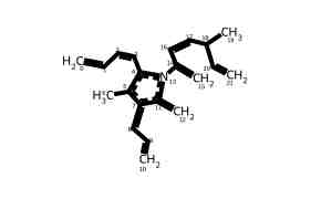 C=C/C=C\c1c(C)/c(=C/C=C)c(=C)n1C(=C)/C=C\C(C)C=C